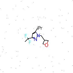 CC(C)c1cc(C(C)(F)F)nn1CC1COC1